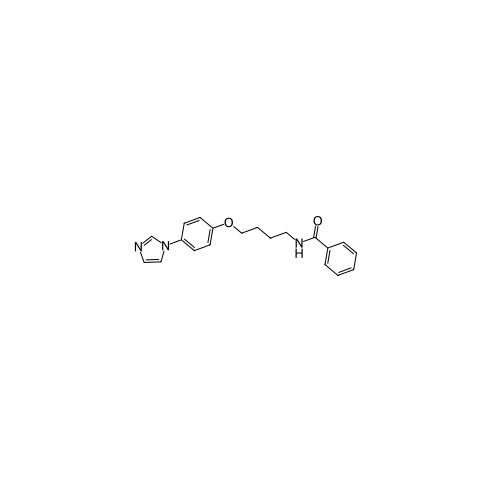 O=C(NCCCCOc1ccc(-n2ccnc2)cc1)c1ccccc1